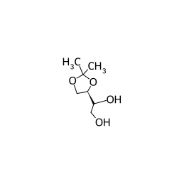 CC1(C)OC[C@H](C(O)CO)O1